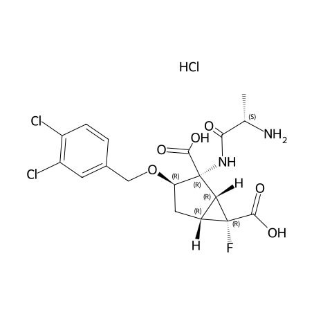 C[C@H](N)C(=O)N[C@@]1(C(=O)O)[C@H](OCc2ccc(Cl)c(Cl)c2)C[C@@H]2[C@H]1[C@@]2(F)C(=O)O.Cl